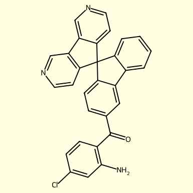 Nc1cc(Cl)ccc1C(=O)c1ccc2c(c1)-c1ccccc1C21c2ccncc2-c2cnccc21